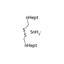 CCCCCCCCSSCCCCCCCC.[SnH2]